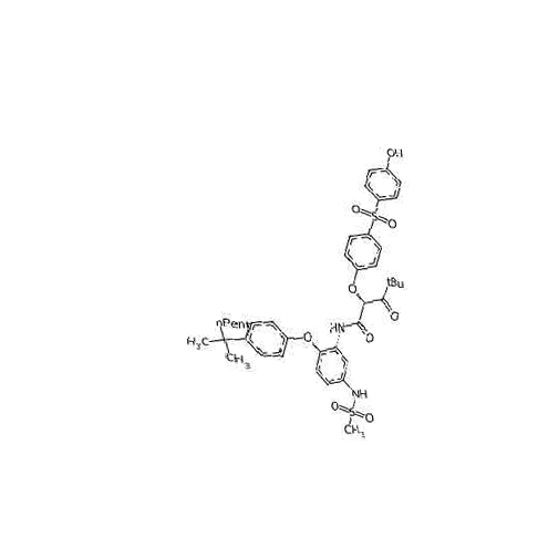 CCCCCC(C)(C)c1ccc(Oc2ccc(NS(C)(=O)=O)cc2NC(=O)C(Oc2ccc(S(=O)(=O)c3ccc(O)cc3)cc2)C(=O)C(C)(C)C)cc1